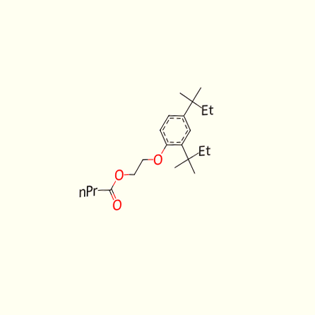 [CH2]CCC(=O)OCCOc1ccc(C(C)(C)CC)cc1C(C)(C)CC